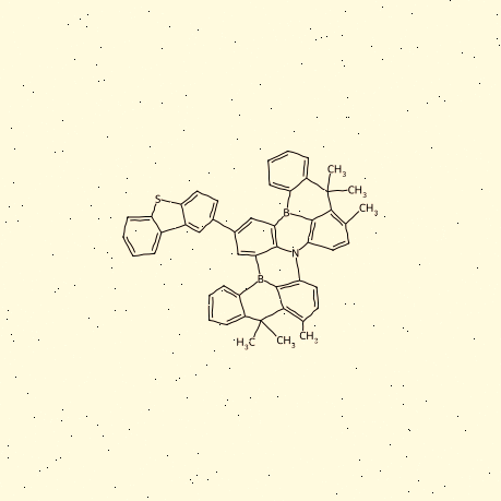 Cc1ccc2c3c1C(C)(C)c1ccccc1B3c1cc(-c3ccc4sc5ccccc5c4c3)cc3c1N2c1ccc(C)c2c1B3c1ccccc1C2(C)C